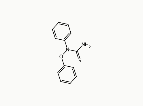 NC(=S)N(Oc1ccccc1)c1ccccc1